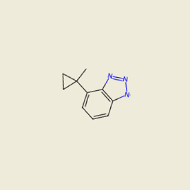 CC1(c2cccc3c2N=N[N]3)CC1